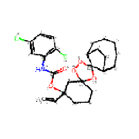 C=CC1(OC(=O)Nc2cc(Cl)ccc2Cl)CCCC2(C1)OOC1(O2)C2CCCCCC1CC2